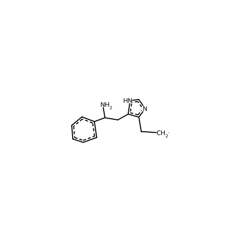 [CH2]Cc1nc[nH]c1CC(N)c1ccccc1